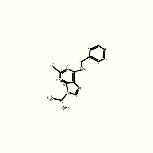 CO[C@H](C)n1cnc2c(NCc3ccccc3)nc(Cl)nc21